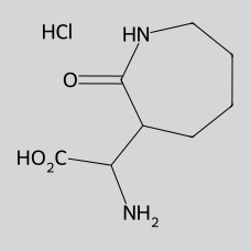 Cl.NC(C(=O)O)C1CCCCNC1=O